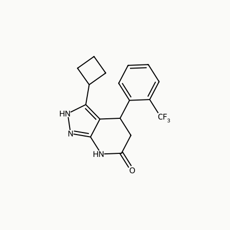 O=C1CC(c2ccccc2C(F)(F)F)c2c(n[nH]c2C2CCC2)N1